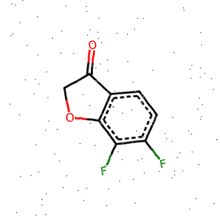 O=C1COc2c1ccc(F)c2F